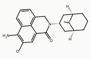 CN1[C@@H]2CCC[C@H]1C[C@H](N1Cc3cccc4c(N)c(Cl)cc(c34)C1=O)C2